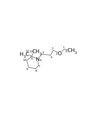 CCOCCCN1CCCCC1(C)C